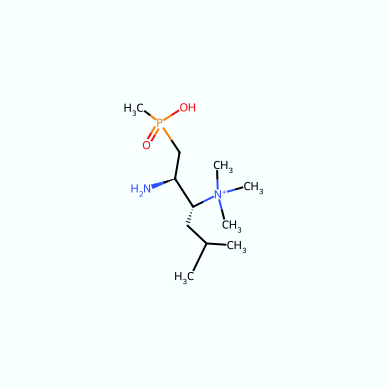 CC(C)C[C@H]([C@@H](N)CP(C)(=O)O)[N+](C)(C)C